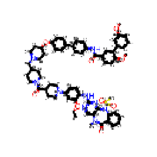 CCOc1cc(N2CCC(C(=O)N3CCC(CN4CCC(Oc5ccc(-c6ccc(NC(=O)c7ccc(OC)c(-c8cccc(OC)c8)c7)cc6)cc5)CC4)CC3)CC2)ccc1Nc1ncc2c(n1)N(S(C)(=O)=O)c1ccccc1C(=O)N2C